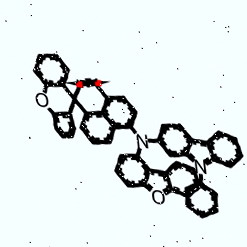 c1ccc(-n2c3ccccc3c3ccc(N(c4ccc5c6c(cccc46)C4(c6ccccc6Oc6ccccc64)c4ccccc4-5)c4cccc5oc6ccccc6c45)cc32)cc1